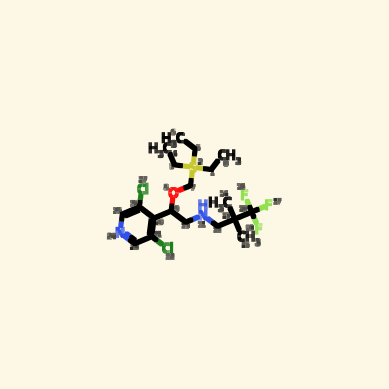 CCS(CC)(CC)COC(CNCC(C)(C)C(F)(F)F)c1c(Cl)cncc1Cl